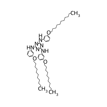 CCCCCCCCCCCOc1cccc(Nc2nc(Nc3cccc(OCCCCCCCCCCC)c3)nc(Nc3cccc(OCCCCCCCCCCC)c3)n2)c1